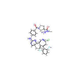 CNC(=O)C1(N)CCN(C(=O)c2ccc(Nc3ncc4c(n3)C3=CN=C(Cl)C=C(c5c(F)cccc5F)C3=CC4)cc2)C1